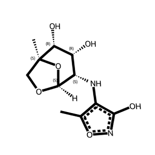 Cc1onc(O)c1N[C@@H]1[C@H]2OC[C@](C)(O2)[C@H](O)[C@@H]1O